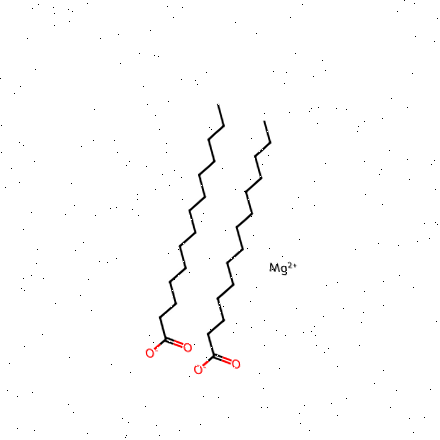 CCCCCCCCCCCCCC(=O)[O-].CCCCCCCCCCCCCC(=O)[O-].[Mg+2]